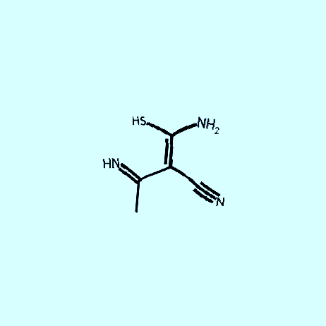 CC(=N)/C(C#N)=C(/N)S